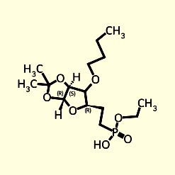 CCCCOC1[C@@H](CCP(=O)(O)OCC)O[C@@H]2OC(C)(C)O[C@@H]12